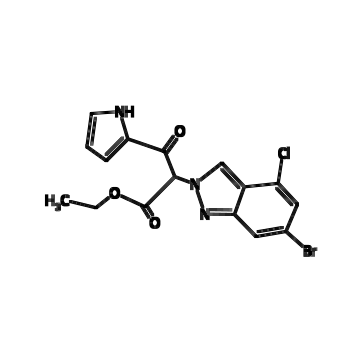 CCOC(=O)C(C(=O)c1ccc[nH]1)n1cc2c(Cl)cc(Br)cc2n1